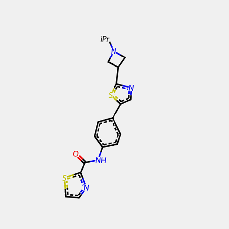 CC(C)N1CC(c2ncc(-c3ccc(NC(=O)c4nccs4)cc3)s2)C1